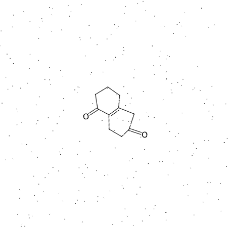 O=C1CCC2=C(CCCC2=O)C1